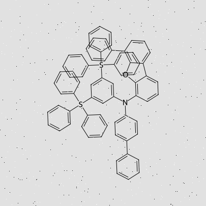 c1ccc(-c2ccc(N(c3cc(S(c4ccccc4)(c4ccccc4)c4ccccc4)cc(S(c4ccccc4)(c4ccccc4)c4ccccc4)c3)c3cccc4c3oc3c(-c5ccccc5)cccc34)cc2)cc1